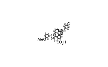 COc1cccc(CCN(CCC(=O)O)C(=O)c2ccccc2-c2ccccc2C(=O)NCc2ccc(Cl)cc2)c1